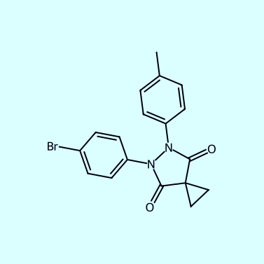 Cc1ccc(N2C(=O)C3(CC3)C(=O)N2c2ccc(Br)cc2)cc1